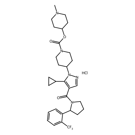 CN1CCC(OC(=O)N2CCC(n3ncc(C(=O)N4CCCC4c4ccccc4C(F)(F)F)c3C3CC3)CC2)CC1.Cl